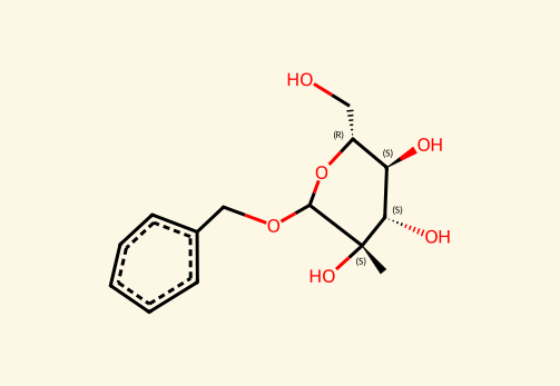 C[C@@]1(O)C(OCc2ccccc2)O[C@H](CO)[C@@H](O)[C@@H]1O